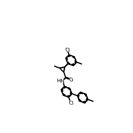 Cc1ccc(-c2cc(NC(=O)C3C(C)C3c3cc(C)cc(Cl)c3)ccc2Cl)cc1